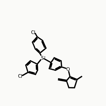 C=C1CCC(C)=C1Oc1ccc([S+](c2ccc(Cl)cc2)c2ccc(Cl)cc2)cc1